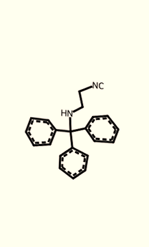 [C-]#[N+]CCNC(c1ccccc1)(c1ccccc1)c1ccccc1